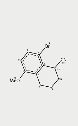 COc1ccc(Br)c2c1CCCC2C#N